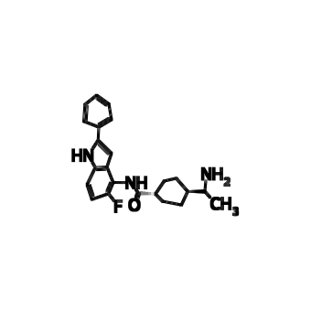 CC(N)[C@H]1CC[C@H](C(=O)Nc2c(F)ccc3[nH]c(-c4ccccc4)cc23)CC1